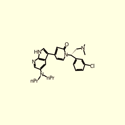 CCCN(CCC)c1cnc2[nH]cc(-c3ccn([C@H](CN(C)C)c4cccc(Cl)c4)c(=O)c3)c2c1